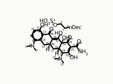 CCCCCCCCCCCCOS(=O)(=O)O.CN(C)c1ccc(O)c2c1C[C@H]1C[C@H]3[C@H](N(C)C)C(O)=C(C(N)=O)C(=O)[C@@]3(O)C(O)=C1C2=O